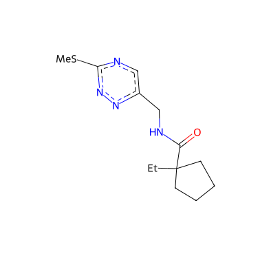 CCC1(C(=O)NCc2cnc(SC)nn2)CCCC1